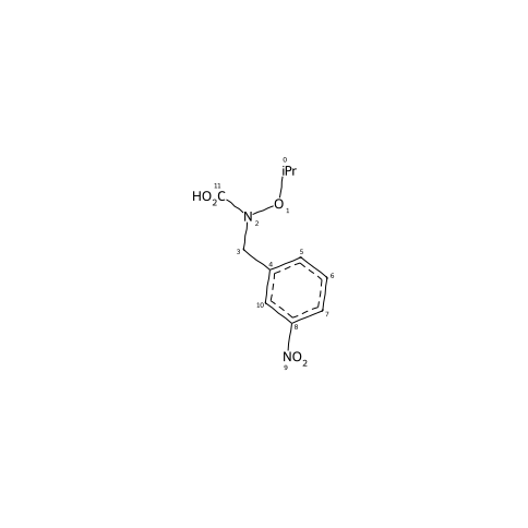 CC(C)ON(Cc1cccc([N+](=O)[O-])c1)C(=O)O